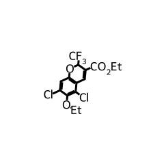 CCOC(=O)C1=Cc2c(cc(Cl)c(OCC)c2Cl)OC1C(F)(F)F